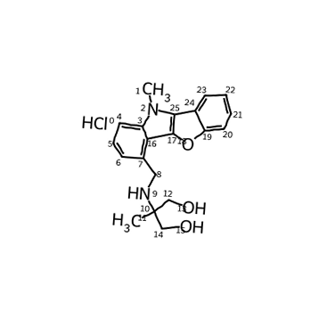 Cl.Cn1c2cccc(CNC(C)(CO)CO)c2c2oc3ccccc3c21